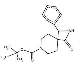 CC(C)(C)OC(=O)N1CCC2(CC1)C(=O)NC2c1ccccc1